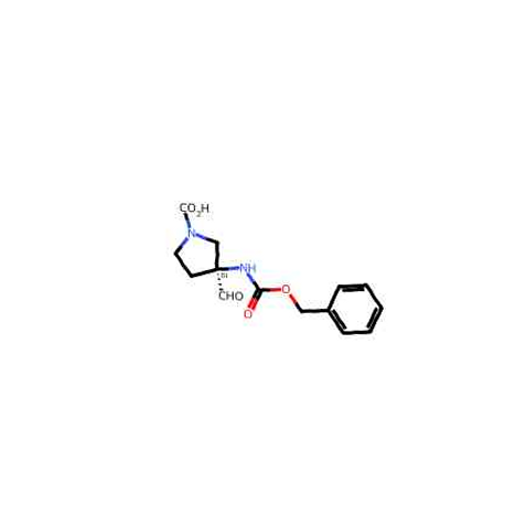 O=C[C@]1(NC(=O)OCc2ccccc2)CCN(C(=O)O)C1